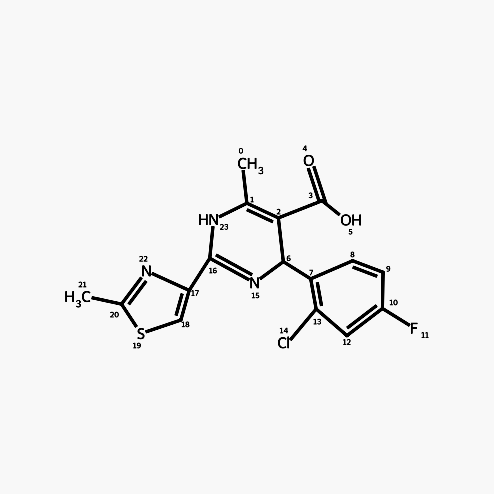 CC1=C(C(=O)O)C(c2ccc(F)cc2Cl)N=C(c2csc(C)n2)N1